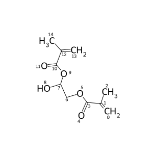 C=C(C)C(=O)OCC(O)OC(=O)C(=C)C